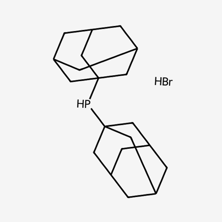 Br.C1C2CC3CC1CC(PC14CC5CC(CC(C5)C1)C4)(C2)C3